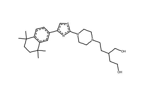 CC1(C)CCC(C)(C)c2cc(-c3csc(N4CCN(CCC(CO)CCO)CC4)n3)ccc21